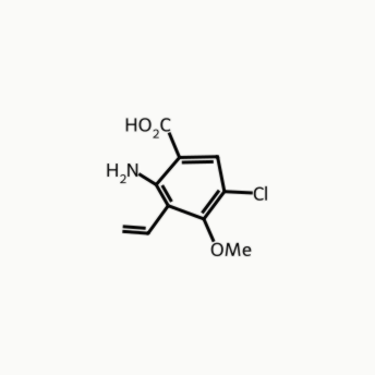 C=Cc1c(N)c(C(=O)O)cc(Cl)c1OC